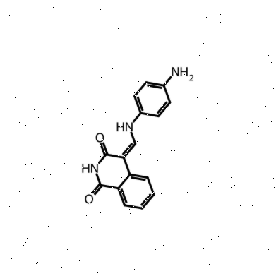 Nc1ccc(N/C=C2\C(=O)NC(=O)c3ccccc32)cc1